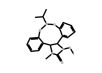 CC(C)P1Oc2ccccc2C2C(c3ccccc3O1)N(SI)C(=O)N2C